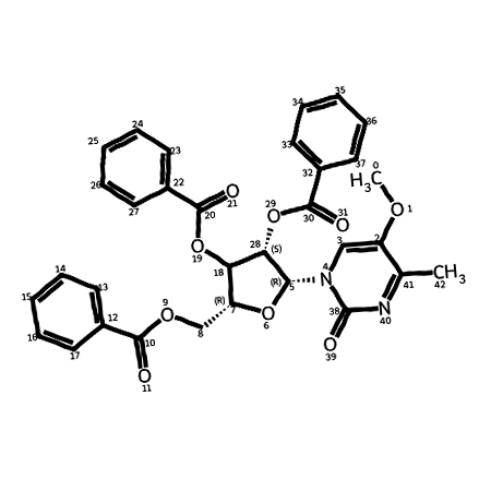 COc1cn([C@@H]2O[C@H](COC(=O)c3ccccc3)C(OC(=O)c3ccccc3)[C@@H]2OC(=O)c2ccccc2)c(=O)nc1C